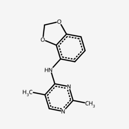 Cc1ncc(C)c(Nc2cccc3c2OCO3)n1